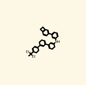 CCC(C)(CC)C1=CC=C(C2=CC(C3=CCCC(Nc4cccc(-c5ccc6c(c5)CC6)c4)=C3)=CCC2)CC1